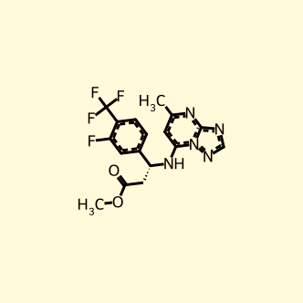 COC(=O)C[C@@H](Nc1cc(C)nc2ncnn12)c1ccc(C(F)(F)F)c(F)c1